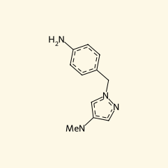 CNc1cnn(Cc2ccc(N)cc2)c1